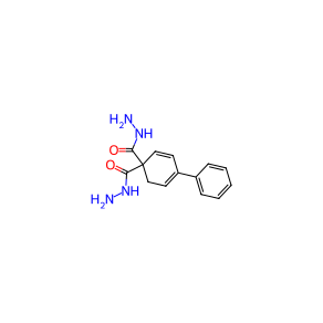 NNC(=O)C1(C(=O)NN)C=CC(c2ccccc2)=CC1